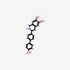 Oc1ccc(-c2ccc(C3Cc4cc(O)c(O)cc4CN3)cc2)cc1